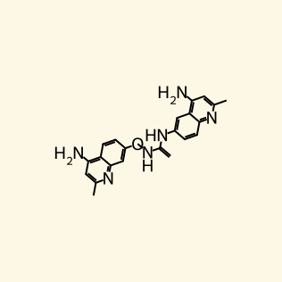 C=C(NOc1ccc2c(N)cc(C)nc2c1)Nc1ccc2nc(C)cc(N)c2c1